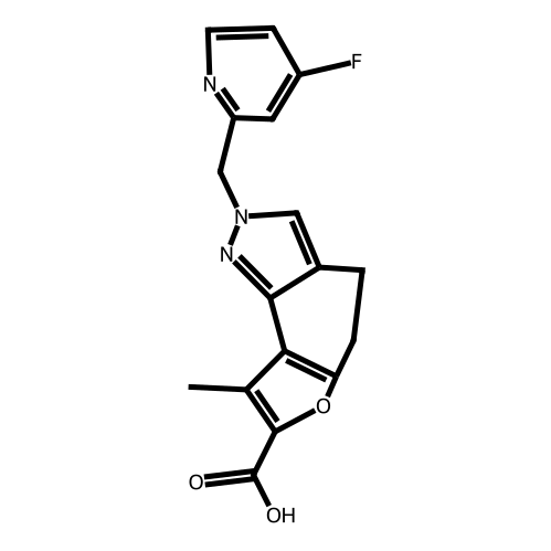 Cc1c(C(=O)O)oc2c1-c1nn(Cc3cc(F)ccn3)cc1CC2